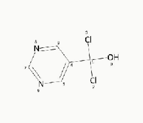 OC(Cl)(Cl)c1cncnc1